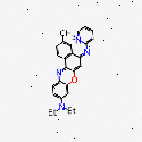 CCN(CC)c1ccc2nc3c4ccc(C)cc4/c(=N\c4ccccn4)cc-3oc2c1